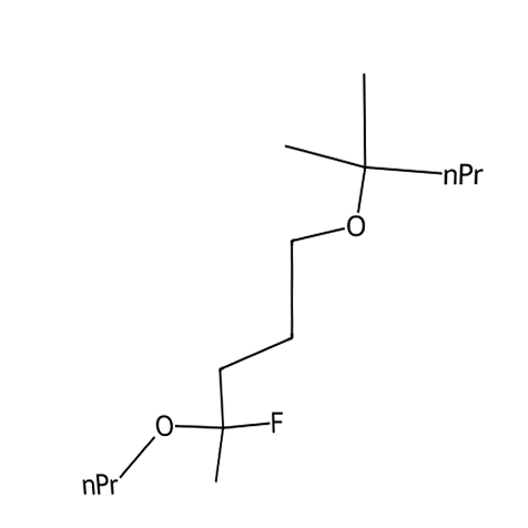 CCCOC(C)(F)CCCOC(C)(C)CCC